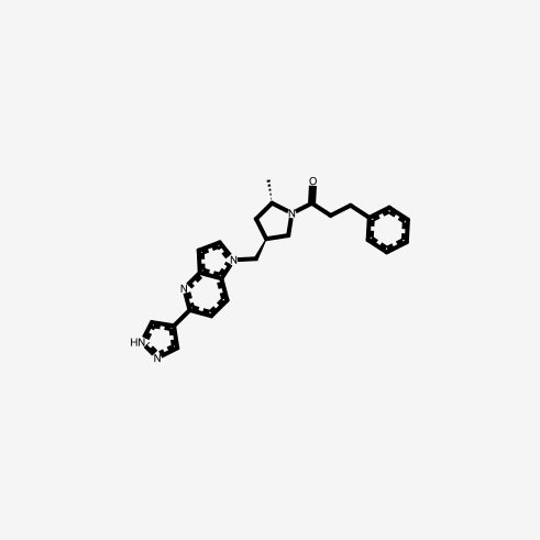 C[C@H]1C[C@H](Cn2ccc3nc(-c4cn[nH]c4)ccc32)CN1C(=O)CCc1ccccc1